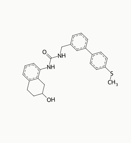 CSc1ccc(-c2cccc(CNC(=O)Nc3cccc4c3CC(O)CC4)c2)cc1